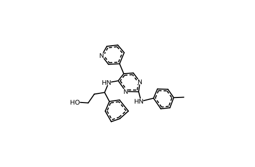 Cc1ccc(Nc2ncc(-c3cccnc3)c(NC(CCO)c3ccccc3)n2)cc1